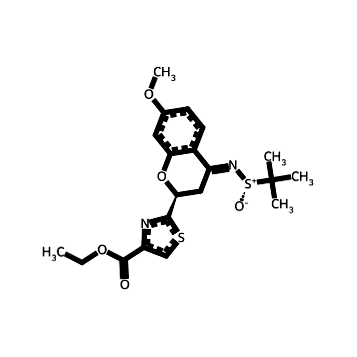 CCOC(=O)c1csc([C@@H]2CC(=N[S@@+]([O-])C(C)(C)C)c3ccc(OC)cc3O2)n1